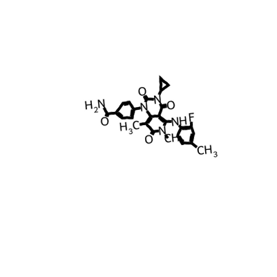 Cc1ccc(Nc2c3c(=O)n(C4CC4)c(=O)n(-c4ccc(C(N)=O)cc4)c3c(C)c(=O)n2C)c(F)c1